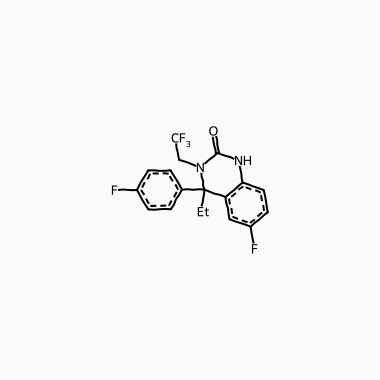 CCC1(c2ccc(F)cc2)c2cc(F)ccc2NC(=O)N1CC(F)(F)F